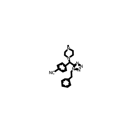 CN1CCN(C(c2ccc(C#N)cc2)c2nnnn2CCc2ccccc2)CC1